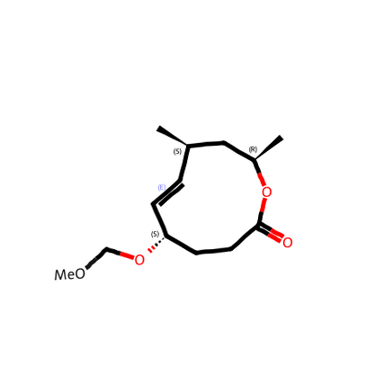 COCO[C@@H]1/C=C/[C@@H](C)C[C@@H](C)OC(=O)CC1